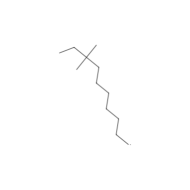 [CH2]CCCCCCC(C)(C)CC